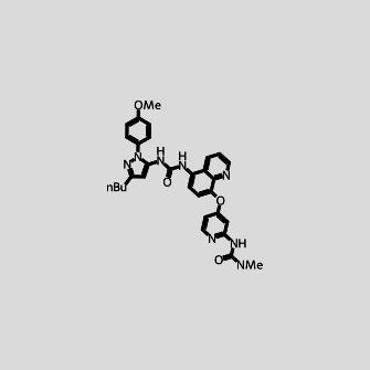 CCCCc1cc(NC(=O)Nc2ccc(Oc3ccnc(NC(=O)NC)c3)c3ncccc23)n(-c2ccc(OC)cc2)n1